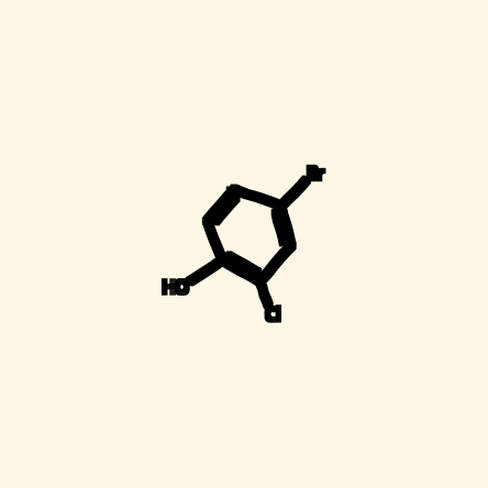 Oc1c[c]c(Br)cc1Cl